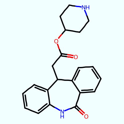 O=C(CC1c2ccccc2NC(=O)c2ccccc21)OC1CCNCC1